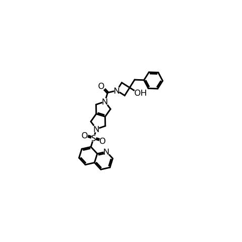 O=C(N1CC2=C(C1)CN(S(=O)(=O)c1cccc3cccnc13)C2)N1CC(O)(Cc2ccccc2)C1